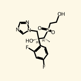 C[C@H]([C@](O)(Cn1cncn1)c1ccc(F)cc1F)S(=O)(=O)CCO